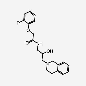 O=C(COc1ccccc1F)NCC(O)CN1CCc2ccccc2C1